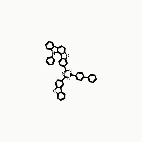 c1ccc(-c2ccc(-c3nc(-c4ccc5c(c4)oc4ccc6c7ccccc7n(-c7ccccc7)c6c45)nc(-c4ccc5oc6ccccc6c5c4)n3)cc2)cc1